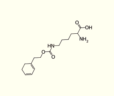 NC(CCCCNC(=O)OCCC1=CC=CCC1)C(=O)O